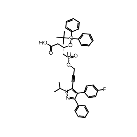 CC(C)n1nc(-c2ccccc2)c(-c2ccc(F)cc2)c1C#CCO[PH](=O)C[C@H](CC(=O)O)O[Si](c1ccccc1)(c1ccccc1)C(C)(C)C